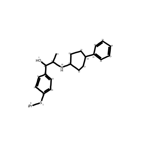 CC(C)Sc1ccc(C(O)C(C)NC2CCC(c3ccccc3)CC2)cc1